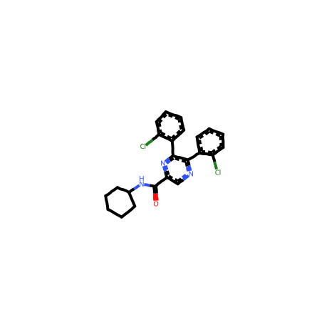 O=C(NC1CCCCC1)c1cnc(-c2ccccc2Cl)c(-c2ccccc2Cl)n1